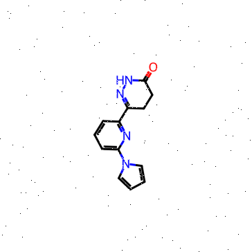 O=C1CCC(c2cccc(-n3cccc3)n2)=NN1